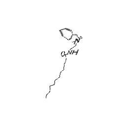 CCCCCCCCCCCC(=O)NCC[N+](C)(C)Cc1ccccc1